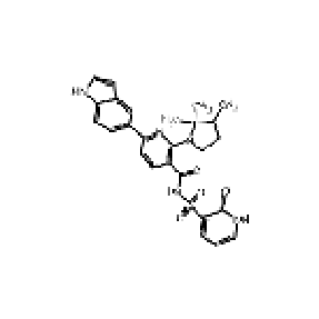 CC1CCN(c2nc(-c3ccc4[nH]ccc4c3)ccc2C(=O)NS(=O)(=O)c2ccc[nH]c2=O)C1(C)C